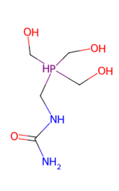 NC(=O)NC[PH](CO)(CO)CO